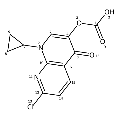 O=C(O)Oc1cn(C2CC2)c2nc(Cl)ccc2c1=O